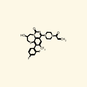 C=CC(=O)N1CCN(c2nc(=O)n3c4c(c(-c5ccc(F)cc5F)c(C(F)(F)F)cc24)SCC(O)C3)CC1